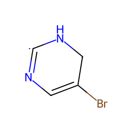 BrC1=CN=[C]NC1